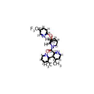 Cc1cccnc1-c1c(C)ccnc1C(=O)N1CC2CC[C@H]1[C@H](Oc1ccc(C(F)(F)F)cn1)C2